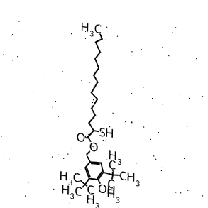 CCCCCCCCCCCCCC(S)C(=O)OCc1cc(C(C)(C)C)c(O)c(C(C)(C)C)c1